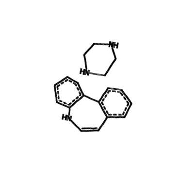 C1=Cc2ccccc2-c2ccccc2N1.C1CNCCN1